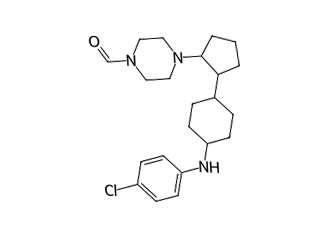 O=CN1CCN(C2CCCC2C2CCC(Nc3ccc(Cl)cc3)CC2)CC1